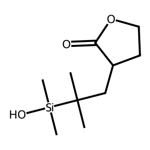 CC(C)(CC1CCOC1=O)[Si](C)(C)O